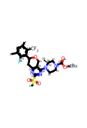 Cc1cc(C)c(C(F)(F)F)c(C2Cc3nc(S(C)(=O)=O)nc(N4CCN(C(=O)OC(C)(C)C)C[C@@H]4C)c3CO2)c1F